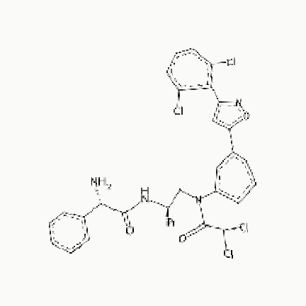 CC(C)[C@H](CN(C(=O)C(Cl)Cl)c1cccc(-c2cc(-c3c(Cl)cccc3Cl)no2)c1)NC(=O)[C@@H](N)c1ccccc1